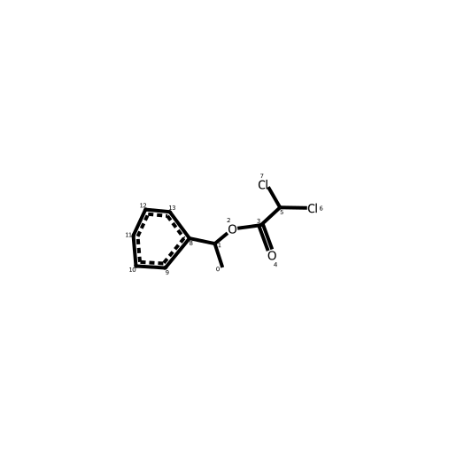 CC(OC(=O)C(Cl)Cl)c1ccccc1